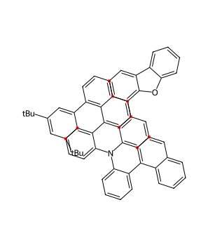 CC(C)(C)C1=CC(C(C)(C)C)CC(c2cccc3cccc(-c4ccccc4N(c4cccc(-c5cccc6c5oc5ccccc56)c4)c4ccccc4-c4cccc5ccccc45)c23)=C1